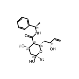 C=C[C@H](O)C[C@@H]1O[C@](O)(CC)C[C@H](O)[C@H]1C(=O)N[C@H](C)c1ccccc1